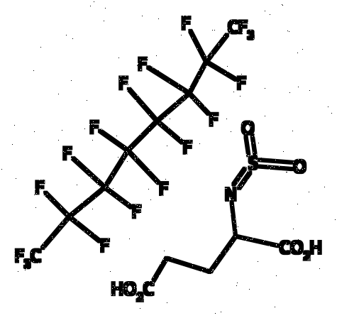 FC(F)(F)C(F)(F)C(F)(F)C(F)(F)C(F)(F)C(F)(F)C(F)(F)C(F)(F)F.O=C(O)CCC(N=S(=O)=O)C(=O)O